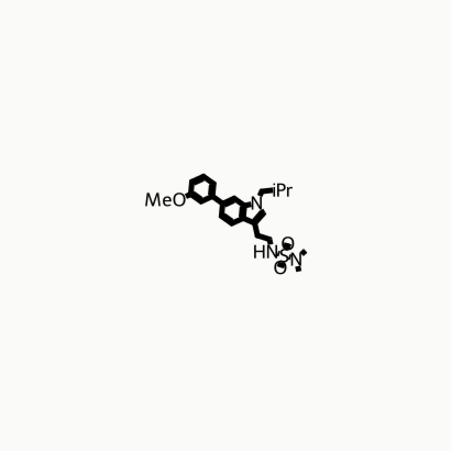 COc1cccc(-c2ccc3c(CCNS(=O)(=O)N(C)C)cn(CC(C)C)c3c2)c1